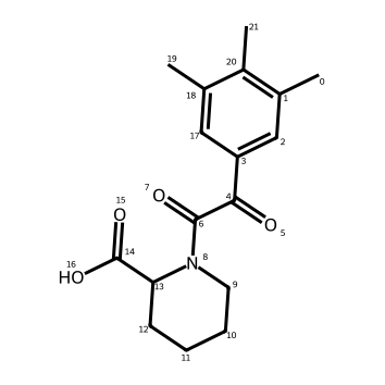 Cc1cc(C(=O)C(=O)N2CCCCC2C(=O)O)cc(C)c1C